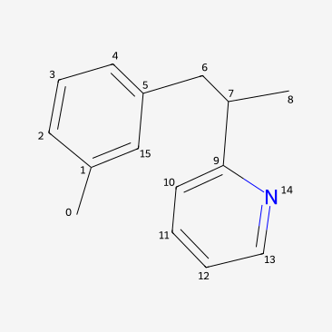 Cc1cccc(CC(C)c2ccccn2)c1